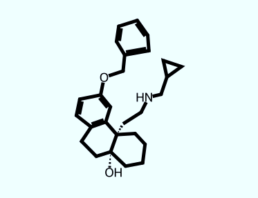 O[C@@]12CCCC[C@]1(CCNCC1CC1)c1cc(OCc3ccccc3)ccc1CC2